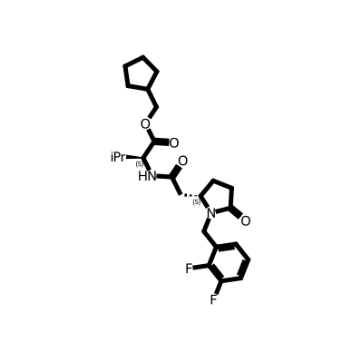 CC(C)[C@H](NC(=O)C[C@@H]1CCC(=O)N1Cc1cccc(F)c1F)C(=O)OCC1CCCC1